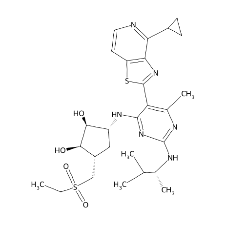 CCS(=O)(=O)C[C@H]1C[C@@H](Nc2nc(N[C@H](C)C(C)C)nc(C)c2-c2nc3c(C4CC4)nccc3s2)[C@H](O)[C@@H]1O